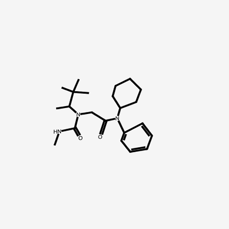 CNC(=O)N(CC(=O)N(c1ccccc1)C1CCCCC1)C(C)C(C)(C)C